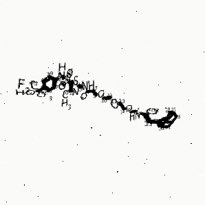 Cc1nc(NC(=O)CCOCCOCCOCCNC(=O)CC2C3CC4CC(C3)CC2C4)sc1S(=O)(=O)Nc1ccc(C(O)(C(F)(F)F)C(F)(F)F)cc1